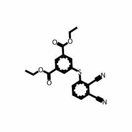 CCOC(=O)c1cc(Sc2cccc(C#N)c2C#N)cc(C(=O)OCC)c1